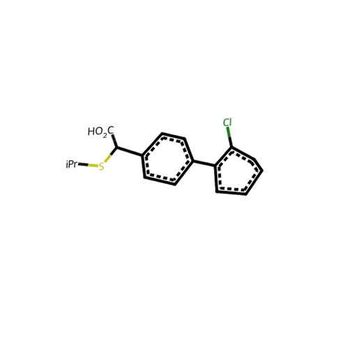 CC(C)SC(C(=O)O)c1ccc(-c2ccccc2Cl)cc1